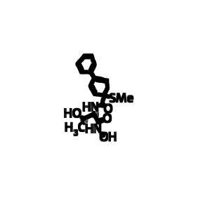 CSC1(C(=O)N[C@H](C(=O)NO)[C@@H](C)O)C=CC(c2ccccc2)=CC1